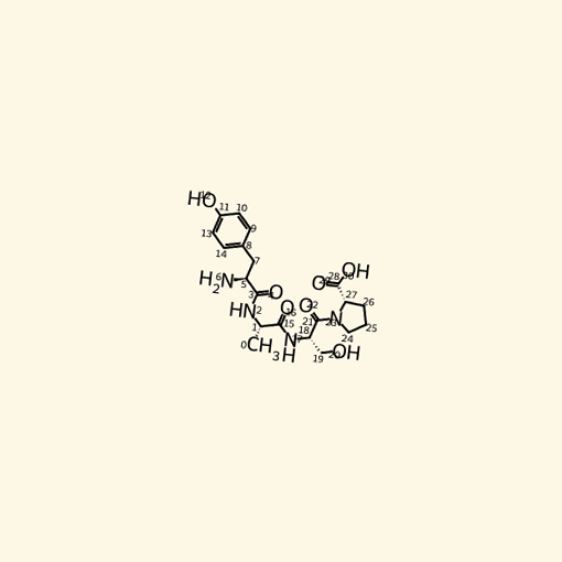 C[C@H](NC(=O)[C@@H](N)Cc1ccc(O)cc1)C(=O)N[C@@H](CO)C(=O)N1CCC[C@H]1C(=O)O